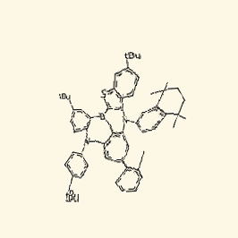 Cc1ccccc1-c1cc2c3c(c1)N(c1ccc4c(c1)C(C)(C)CCC4(C)C)c1c(sc4cc(C(C)(C)C)ccc14)B3c1cc(C(C)(C)C)ccc1N2c1ccc(C(C)(C)C)cc1